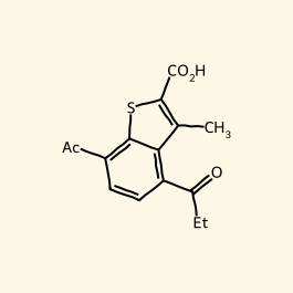 CCC(=O)c1ccc(C(C)=O)c2sc(C(=O)O)c(C)c12